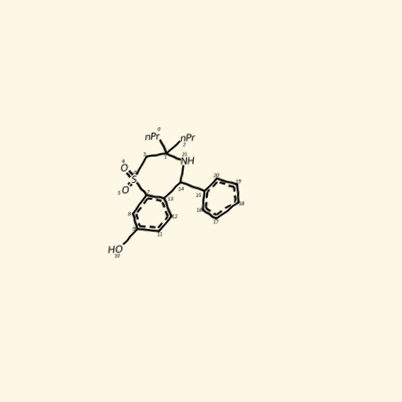 CCCC1(CCC)CS(=O)(=O)c2cc(O)ccc2C(c2ccccc2)N1